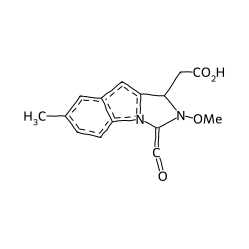 CON1C(=C=O)n2c(cc3cc(C)ccc32)C1CC(=O)O